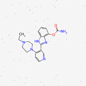 CCN1CCN(c2ccncc2-c2nc3c(OC(N)=O)cccc3[nH]2)CC1